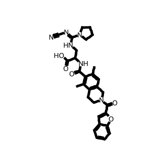 Cc1cc2c(c(C)c1C(=O)NC(CN/C(=N\C#N)N1CCCC1)C(=O)O)CCN(C(=O)c1cc3ccccc3o1)C2